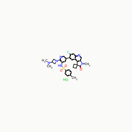 Cc1ccc(S(=O)(=O)Nc2cc(-c3cc4c5c(cnc4cc3F)N(C)C(=O)C53CCC3)cnc2N2CC(N(C)C)C2)cc1.Cl